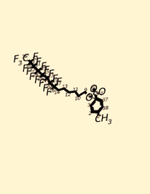 Cc1ccc(S(=O)(=O)OCCCCCCC(F)(F)C(F)(F)C(F)(F)C(F)(F)C(F)(F)C(F)(F)C(F)(F)C(F)(F)F)cc1